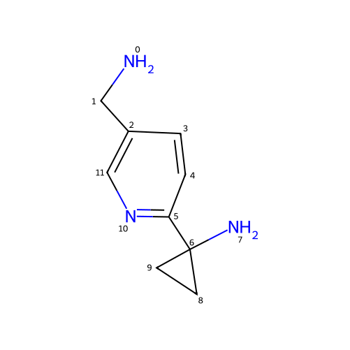 NCc1ccc(C2(N)CC2)nc1